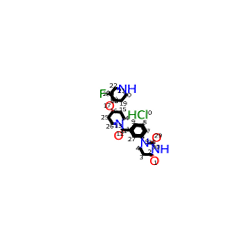 Cl.O=C1CCN(c2cccc(C(=O)N3CCC(O[C@@H]4CCNC[C@H]4F)CC3)c2)C(=O)N1